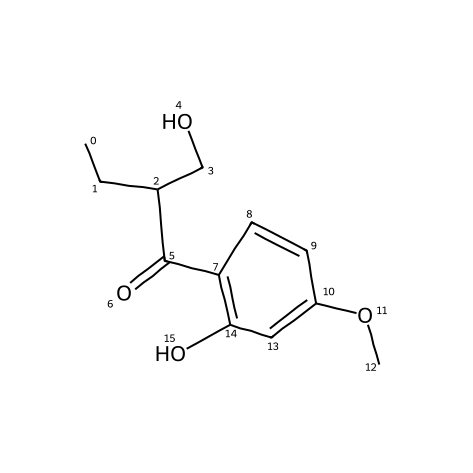 CCC(CO)C(=O)c1ccc(OC)cc1O